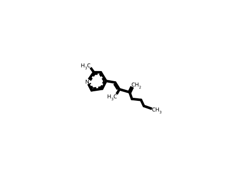 C=C(CCCC)/C(C)=C/c1ccnc(C)c1